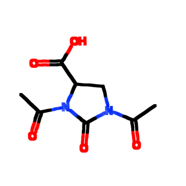 CC(=O)N1CC(C(=O)O)N(C(C)=O)C1=O